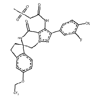 CS(=O)(=O)CC(=O)Nc1c(-c2ccc(C#N)c(F)c2)nn2c1C(=O)N[C@]1(CCc3cc(OCC(F)(F)F)ccc31)C2